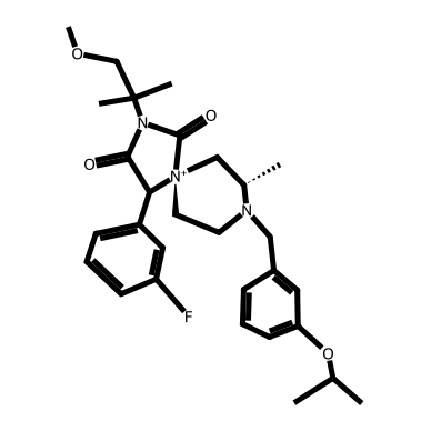 COCC(C)(C)N1C(=O)C(c2cccc(F)c2)[N@+]2(CCN(Cc3cccc(OC(C)C)c3)[C@@H](C)C2)C1=O